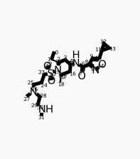 CC[C@H]1C[C@@H](NC(=O)c2cc(C3CC3)on2)C[C@@H](C)N1S(=O)(=O)CCCN(C)CCNC